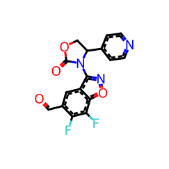 O=Cc1cc2c(N3C(=O)OCC3c3ccncc3)noc2c(F)c1F